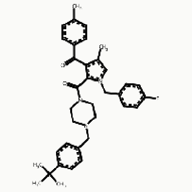 Cc1ccc(C(=O)c2c(C)cn(Cc3ccc(F)cc3)c2C(=O)N2CCN(Cc3ccc(C(C)(C)C)cc3)CC2)cc1